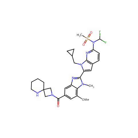 COc1cc(C(=O)N2CC3(CCCCN3)C2)cc2nc(-c3cc4ccc(N(C(F)F)S(C)(=O)=O)nc4n3CC3CC3)n(C)c12